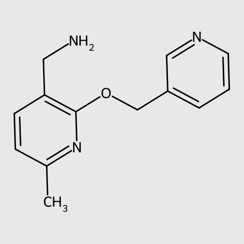 Cc1ccc(CN)c(OCc2cccnc2)n1